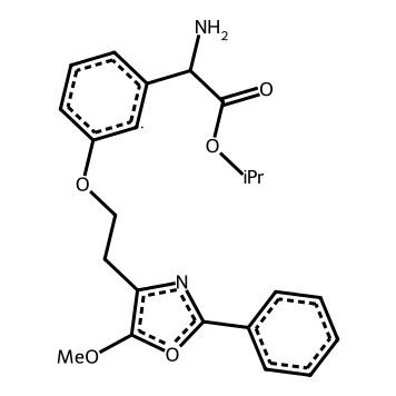 COc1oc(-c2ccccc2)nc1CCOc1[c]c(C(N)C(=O)OC(C)C)ccc1